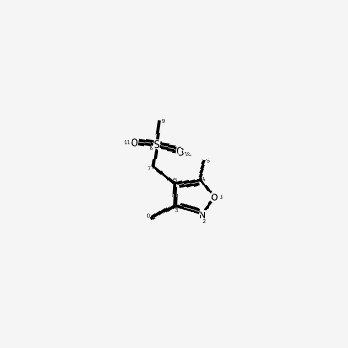 Cc1noc(C)c1[CH]S(C)(=O)=O